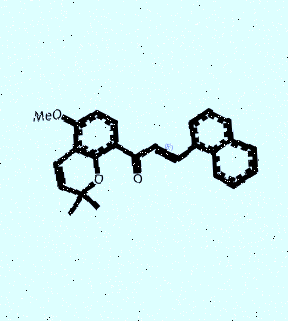 COc1ccc(C(=O)/C=C/c2cccc3ccccc23)c2c1C=CC(C)(C)O2